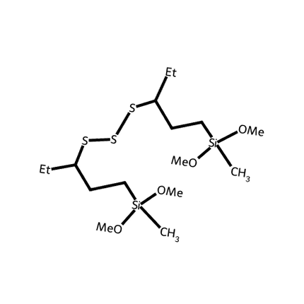 CCC(CC[Si](C)(OC)OC)SSSC(CC)CC[Si](C)(OC)OC